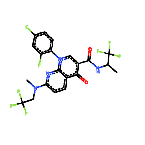 CC(NC(=O)c1cn(-c2ccc(F)cc2F)c2nc(N(C)CC(F)(F)F)ccc2c1=O)C(F)(F)F